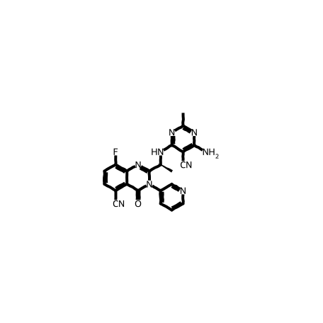 Cc1nc(N)c(C#N)c(N[C@@H](C)c2nc3c(F)ccc(C#N)c3c(=O)n2-c2cccnc2)n1